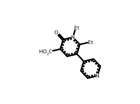 CCc1c(-c2ccncc2)cc(C(=O)O)c(=O)n1CC